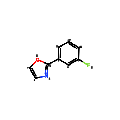 Fc1[c]c(-c2ncco2)ccc1